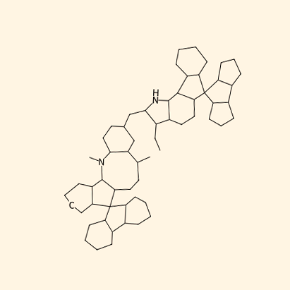 CCC1C(CC2CCC3C(C2)C(C)CCC2C(C4CCCCC4C24C2CCCCC2C2CCCCC24)N3C)NC2C1CCC1C2C2CCCCC2C12C1CCCC1C1CCCC12